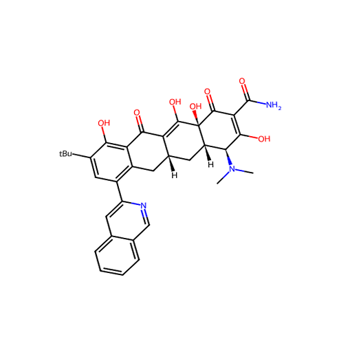 CN(C)[C@@H]1C(O)=C(C(N)=O)C(=O)[C@@]2(O)C(O)=C3C(=O)c4c(O)c(C(C)(C)C)cc(-c5cc6ccccc6cn5)c4C[C@H]3C[C@@H]12